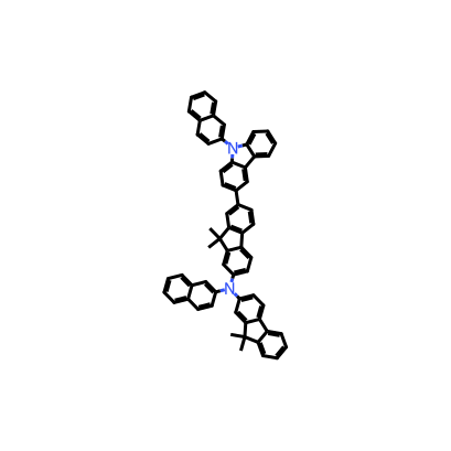 CC1(C)c2ccccc2-c2ccc(N(c3ccc4c(c3)C(C)(C)c3cc(-c5ccc6c(c5)c5ccccc5n6-c5ccc6ccccc6c5)ccc3-4)c3ccc4ccccc4c3)cc21